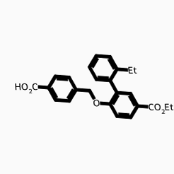 CCOC(=O)c1ccc(OCc2ccc(C(=O)O)cc2)c(-c2ccccc2CC)c1